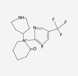 O=C1CCCC[N+]1(c1ncc(C(F)(F)F)cc1F)C1CCNCC1